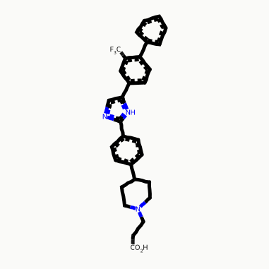 O=C(O)CCN1CCC(c2ccc(-c3ncc(-c4ccc(-c5ccccc5)c(C(F)(F)F)c4)[nH]3)cc2)CC1